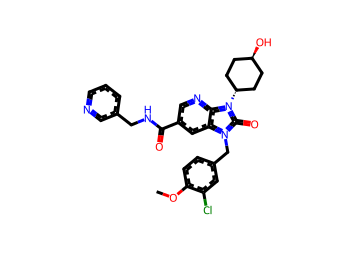 COc1ccc(Cn2c(=O)n([C@H]3CC[C@H](O)CC3)c3ncc(C(=O)NCc4cccnc4)cc32)cc1Cl